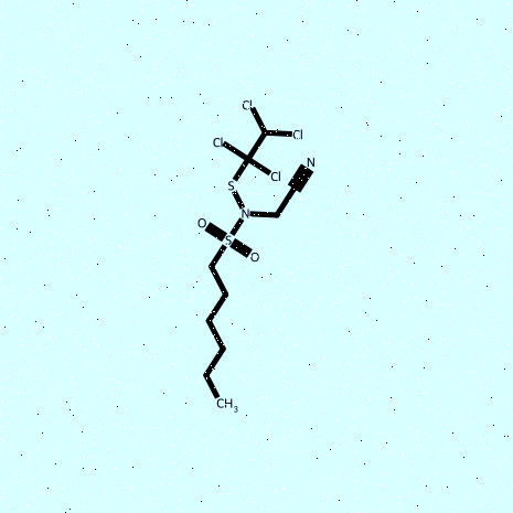 CCCCCCS(=O)(=O)N(CC#N)SC(Cl)(Cl)C(Cl)Cl